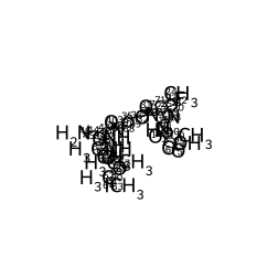 CC[C@@]1(O)C(=O)OCc2c1cc1n(c2=O)Cc2c-1nc1cc(F)c(C)c3c1c2[C@@H](NC(=O)OCc1ccc(NC(=O)[C@H](CCCCN)NC(=O)C(NC(=O)CC(C)(C)OCCC(C)(C)I)C(C)C)cc1)CC3